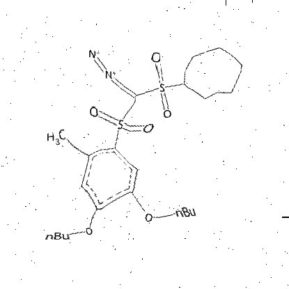 CCCCOc1cc(C)c(S(=O)(=O)C(=[N+]=[N-])S(=O)(=O)C2CCCCC2)cc1OCCCC